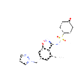 COc1cc(Cn2cccn2)cc2onc(NS(=O)(=O)C3CCC(=O)CC3)c12